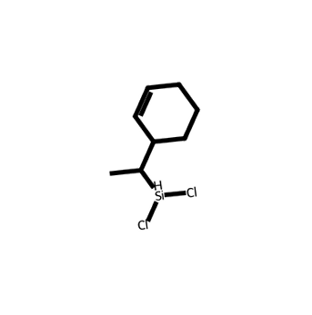 CC(C1C=CCCC1)[SiH](Cl)Cl